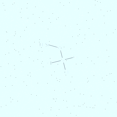 [SiH3]O[Si](Cl)(Cl)Cl